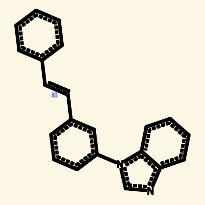 C(=C\c1cccc(-n2cnc3ccccc32)c1)/c1ccccc1